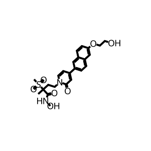 CC(CCn1ccc(-c2ccc3cc(OCCO)ccc3c2)cc1=O)(C(=O)NO)S(C)(=O)=O